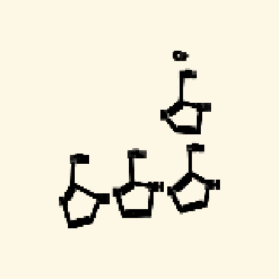 CCCCc1ncc[nH]1.CCCCc1ncc[nH]1.CCCCc1ncc[nH]1.CCCCc1ncc[nH]1.[Cu]